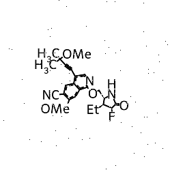 CC[C@@H]1[C@H](F)C(=O)N[C@@H]1COc1ncc(C#CC(C)(C)OC)c2cc(C#N)c(OC)cc12